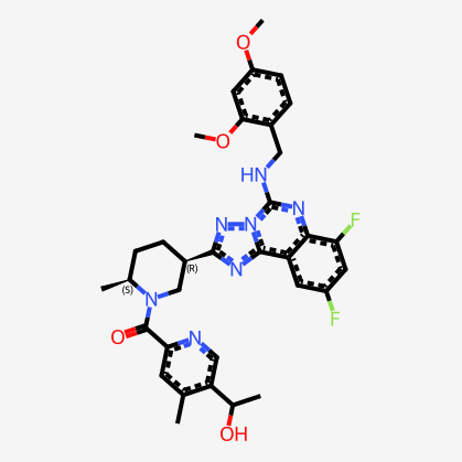 COc1ccc(CNc2nc3c(F)cc(F)cc3c3nc([C@@H]4CC[C@H](C)N(C(=O)c5cc(C)c(C(C)O)cn5)C4)nn23)c(OC)c1